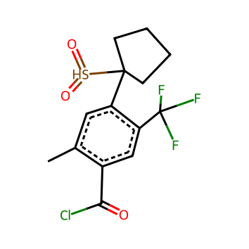 Cc1cc(C2([SH](=O)=O)CCCC2)c(C(F)(F)F)cc1C(=O)Cl